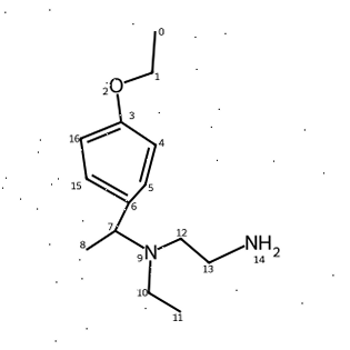 CCOc1ccc(C(C)N(CC)CCN)cc1